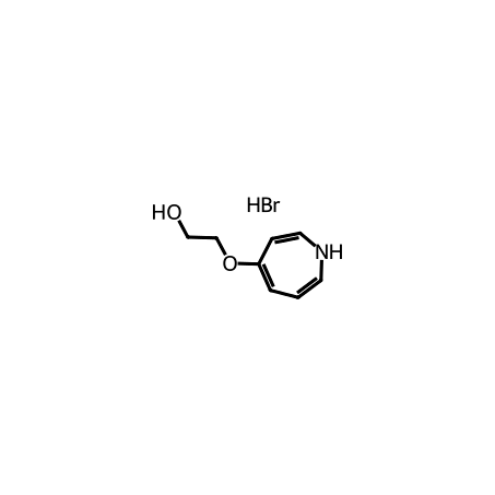 Br.OCCOC1=CC=CNC=C1